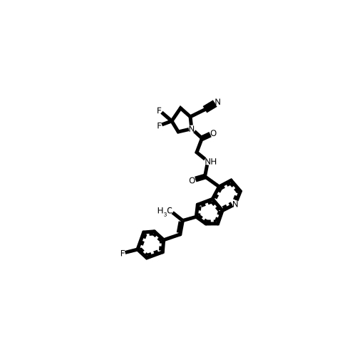 CC(=Cc1ccc(F)cc1)c1ccc2nccc(C(=O)NCC(=O)N3CC(F)(F)CC3C#N)c2c1